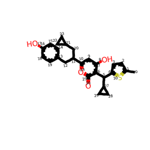 Cc1ccc(C(c2c(O)cc(C(Cc3ccc(O)cc3)CC3CC3)oc2=O)C2CC2)s1